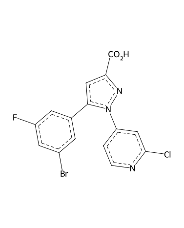 O=C(O)c1cc(-c2cc(F)cc(Br)c2)n(-c2ccnc(Cl)c2)n1